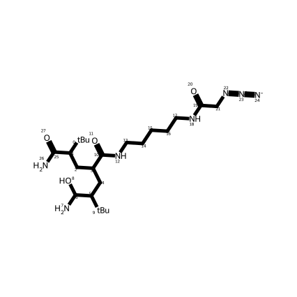 CC(C)(C)C(CC(CC(C(N)O)C(C)(C)C)C(=O)NCCCCCNC(=O)CN=[N+]=[N-])C(N)=O